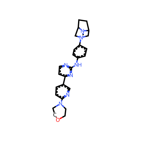 CN1C2CCC1CN(c1ccc(Nc3nccc(-c4ccc(N5CCOCC5)nc4)n3)cc1)C2